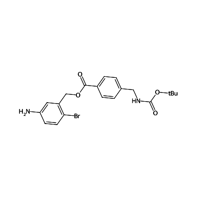 CC(C)(C)OC(=O)NCc1ccc(C(=O)OCc2cc(N)ccc2Br)cc1